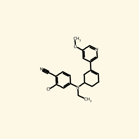 CCN(c1ccc(C#N)c(Cl)c1)C1CCC=C(c2cncc(OC)c2)C1